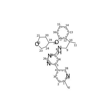 Cc1ccc(-c2cc(NCC(C)c3ccccc3OC3CCOCC3)ncn2)cn1